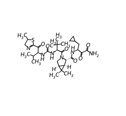 CC1CN=C(C(=O)[C@@H](NC(=O)N[C@H](C(=O)N2C[C@H]3[C@@H]([C@H]2C(=O)NC(CC2CC2)C(=O)C(N)=O)C3(C)C)C(C)(C)C)C(C)C)S1